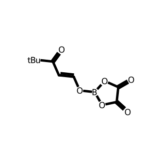 CC(C)(C)C(=O)C=COB1OC(=O)C(=O)O1